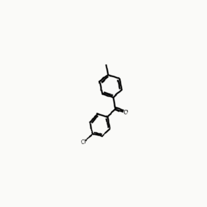 Cc1ccc(C(=O)c2ccc(Cl)cc2)cc1